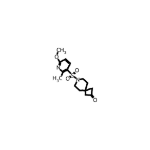 COc1ccc(S(=O)(=O)N2CCC3(CC2)CC(=O)C3)c(C)n1